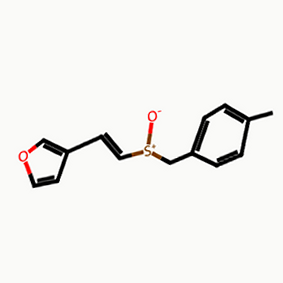 Cc1ccc(C[S+]([O-])/C=C/c2ccoc2)cc1